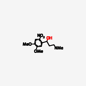 CNCCC(O)c1cc(OC)c(OC)cc1[N+](=O)[O-]